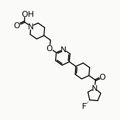 O=C(O)N1CCC(COc2ccc(C3=CCC(C(=O)N4CC[C@H](F)C4)CC3)cn2)CC1